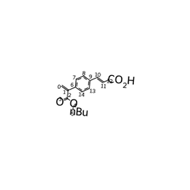 C=C(C(=O)OCCCC)c1ccc(C=CC(=O)O)cc1